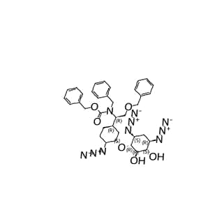 [N-]=[N+]=NC1CC[C@@H]([C@H](COCc2ccccc2)N(Cc2ccccc2)C(=O)OCc2ccccc2)C[C@@H]1O[C@H]1[C@H](O)[C@@H](O)[C@H](N=[N+]=[N-])C[C@@H]1N=[N+]=[N-]